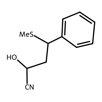 CSC(CC(O)C#N)c1ccccc1